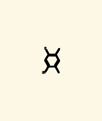 Cc1cc(C)c(C(C)C)cc1F